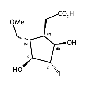 COC[C@H]1[C@H](O)[C@@H](I)[C@H](O)[C@@H]1CC(=O)O